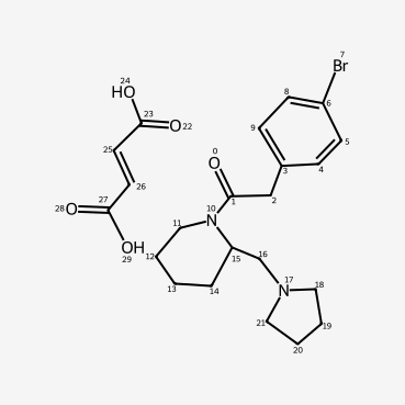 O=C(Cc1ccc(Br)cc1)N1CCCCC1CN1CCCC1.O=C(O)C=CC(=O)O